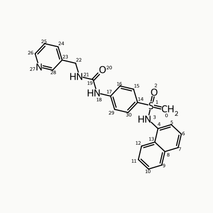 C=S(=O)(Nc1cccc2ccccc12)c1ccc(NC(=O)NCc2cccnc2)cc1